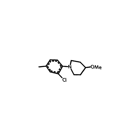 COC1CCN(c2ccc(C)cc2Cl)CC1